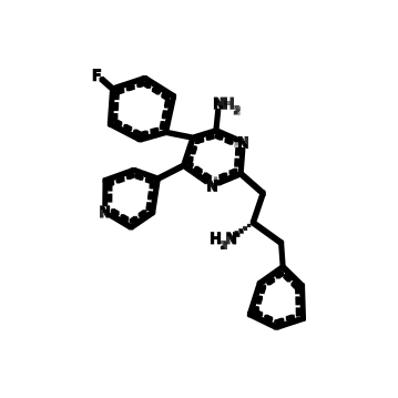 Nc1nc(C[C@@H](N)Cc2ccccc2)nc(-c2ccncc2)c1-c1ccc(F)cc1